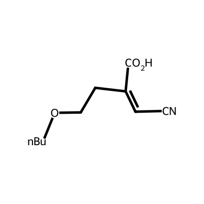 CCCCOCCC(=CC#N)C(=O)O